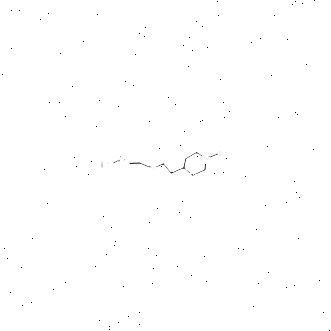 CC(C)NCCNCCC1CCN(C(C)C)CC1